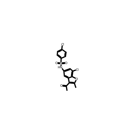 CC(=O)c1c(C)oc2c(Cl)cc(NS(=O)(=O)c3ccc(Cl)cc3)cc12